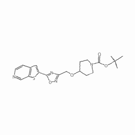 CC(C)(C)OC(=O)N1CCC(OCc2noc(-c3cc4ccncc4s3)n2)CC1